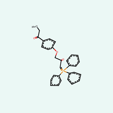 COCC(=O)c1ccc(OCC(=O)C=P(c2ccccc2)(c2ccccc2)c2ccccc2)cc1